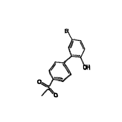 CCc1ccc(O)c(-c2ccc(S(C)(=O)=O)cc2)c1